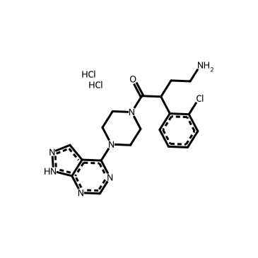 Cl.Cl.NCCC(C(=O)N1CCN(c2ncnc3[nH]ncc23)CC1)c1ccccc1Cl